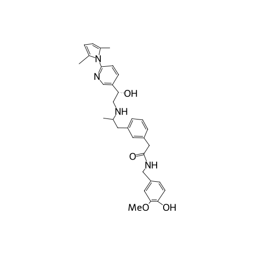 COc1cc(CNC(=O)Cc2cccc(CC(C)NC[C@@H](O)c3ccc(-n4c(C)ccc4C)nc3)c2)ccc1O